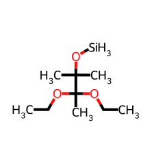 CCOC(C)(OCC)C(C)(C)O[SiH3]